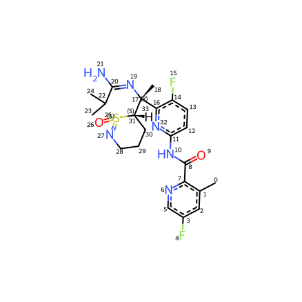 Cc1cc(F)cnc1C(=O)Nc1ccc(F)c([C@@]2(C)N=C(N)C(C)(C)[S@]3(=O)=NCCC[C@@H]23)n1